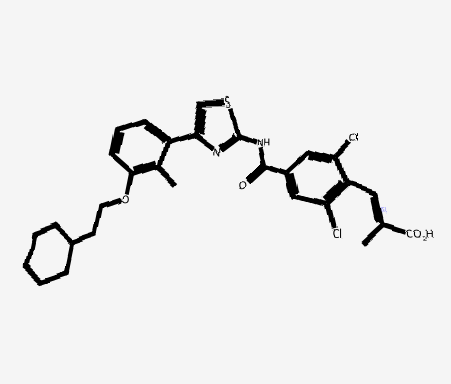 C/C(=C\c1c(Cl)cc(C(=O)Nc2nc(-c3cccc(OCCC4CCCCC4)c3C)cs2)cc1Cl)C(=O)O